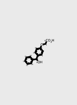 O=C(O)COc1ccc(C(O)c2ccccc2)cc1